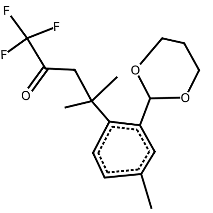 Cc1ccc(C(C)(C)CC(=O)C(F)(F)F)c(C2OCCCO2)c1